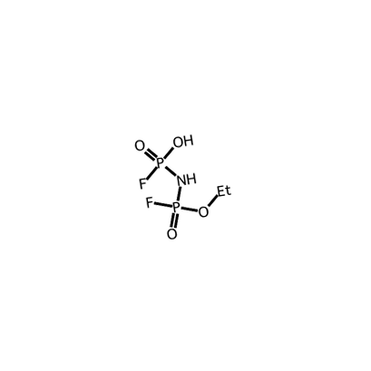 CCOP(=O)(F)NP(=O)(O)F